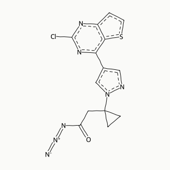 [N-]=[N+]=NC(=O)CC1(n2cc(-c3nc(Cl)nc4ccsc34)cn2)CC1